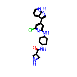 O=C(N[C@H]1CC[C@H](Nc2cc(-c3c[nH]c4ncccc34)cc(Cl)n2)CC1)C1CNC1